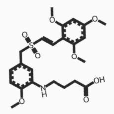 COc1cc(OC)c(/C=C/S(=O)(=O)Cc2ccc(OC)c(NCCCC(=O)O)c2)c(OC)c1